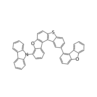 c1ccc2c(c1)oc1cccc(-c3ccc4sc5ccc6oc7c(-n8c9ccccc9c9ccccc98)cccc7c6c5c4c3)c12